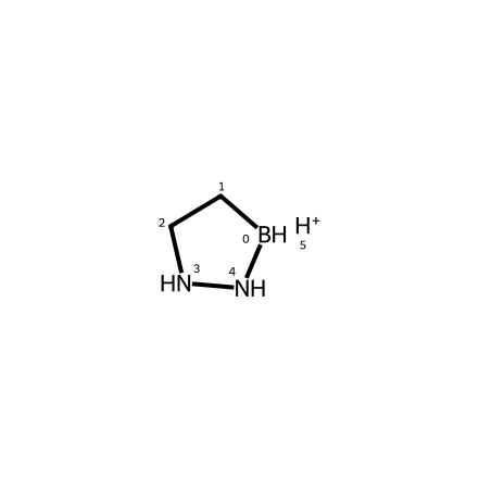 B1CCNN1.[H+]